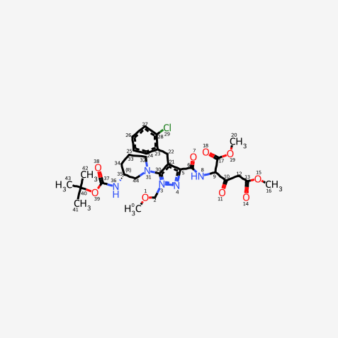 COCn1nc(C(=O)NC(C(=O)CC(=O)OC)C(=O)OC)c(Cc2ccccc2Cl)c1N1CCC[C@@H](NC(=O)OC(C)(C)C)C1